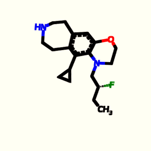 CC[C@@H](F)CN1CCOc2cc3c(c(C4CC4)c21)CCNCC3